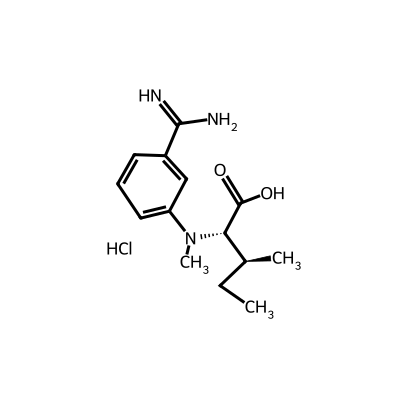 CC[C@H](C)[C@@H](C(=O)O)N(C)c1cccc(C(=N)N)c1.Cl